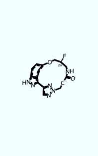 O=C1CCn2ncc(n2)-c2n[nH]c3ccc(cc23)OC[C@@H](F)CN1